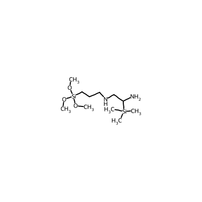 CO[Si](CCCNCC(N)[Si](C)(C)C)(OC)OC